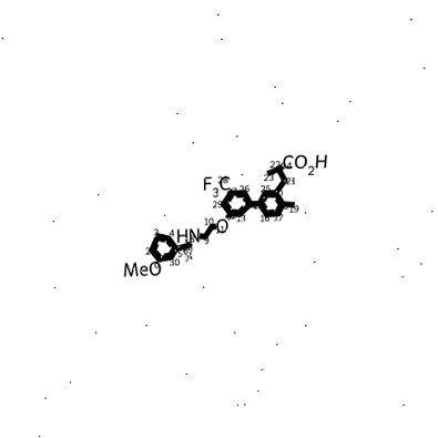 COc1cccc([C@@H](C)NCCOc2cc(-c3ccc(C)c(CC(C)C(=O)O)c3)cc(C(F)(F)F)c2)c1